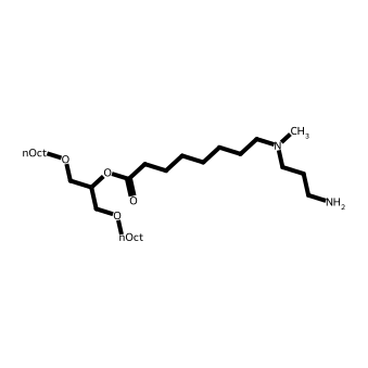 CCCCCCCCOCC(COCCCCCCCC)OC(=O)CCCCCCCN(C)CCCN